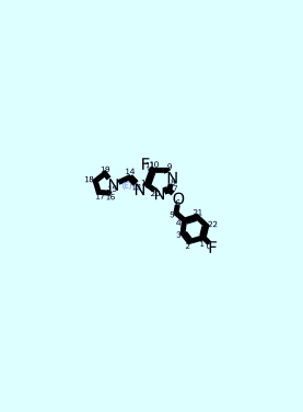 Fc1ccc(COc2ncc(F)c(/N=C/N3CCCC3)n2)cc1